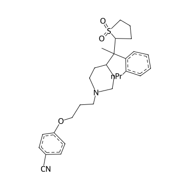 CCCc1ccccc1C(C)(C1CCN(CCCOc2ccc(C#N)cc2)CC1)C1CCCS1(=O)=O